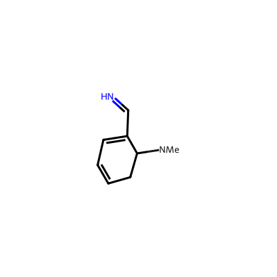 CNC1CC=CC=C1C=N